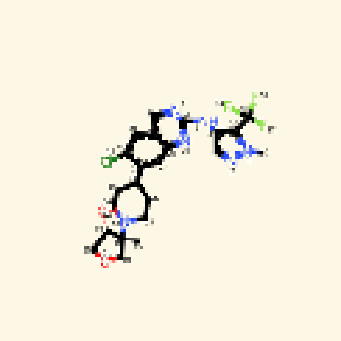 Cn1ncc(Nc2ncc3cc(Cl)c(C4CCN([C@]5(C)COC[C@@H]5O)CC4)cc3n2)c1C(F)(F)F